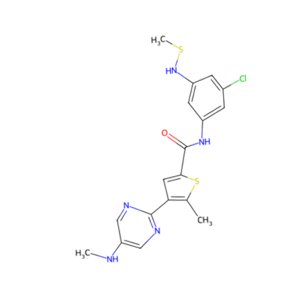 CNc1cnc(-c2cc(C(=O)Nc3cc(Cl)cc(NSC)c3)sc2C)nc1